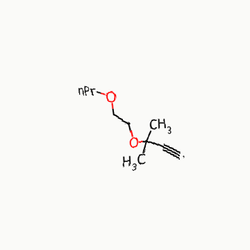 [C]#CC(C)(C)OCCOCCC